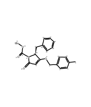 Cc1ccc(COC2=CC(=O)N(C(=O)OC(C)(C)C)[C@H]2Cc2ccccc2)cc1